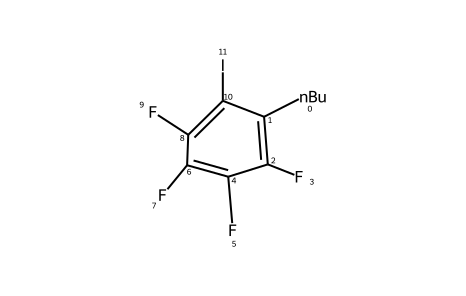 CCCCc1c(F)c(F)c(F)c(F)c1I